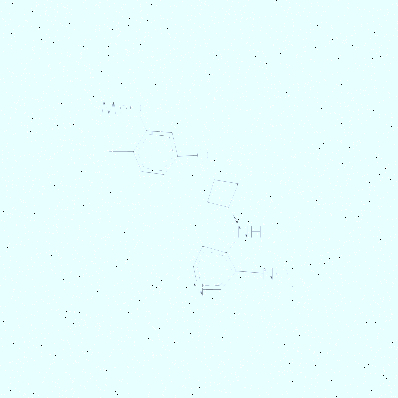 COc1cc(O[C@H]2C[C@H](Nc3ccncc3[N+](=O)[O-])C2)ccc1C